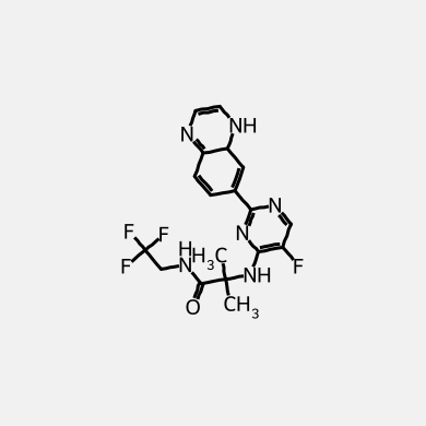 CC(C)(Nc1nc(C2=CC3NC=CN=C3C=C2)ncc1F)C(=O)NCC(F)(F)F